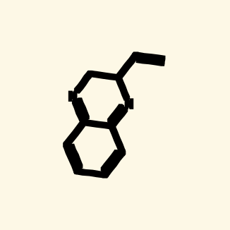 C=CC1CN=c2ccccc2=N1